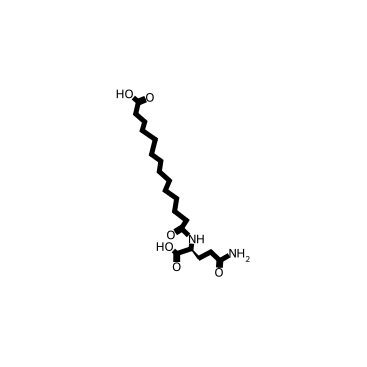 NC(=O)CC[C@H](NC(=O)CCCCCCCCCCCCC(=O)O)C(=O)O